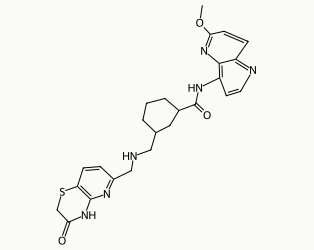 COc1ccc2nccc(NC(=O)C3CCCC(CNCc4ccc5c(n4)NC(=O)CS5)C3)c2n1